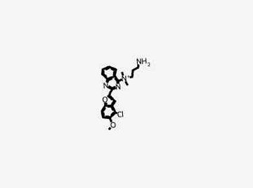 COc1ccc2oc(-c3nc([N+](C)(C)CCCN)c4ccccc4n3)cc2c1Cl